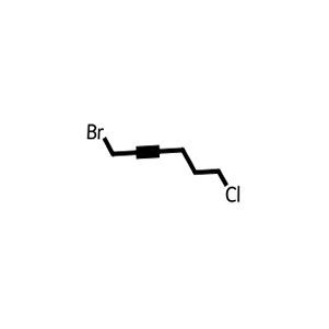 ClCCCC#CCBr